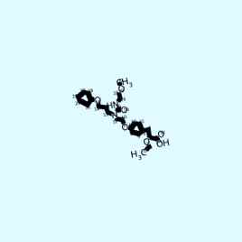 CCOC(Cc1ccc(OCCN(CCCOc2ccccc2)C(=O)NCCOC)cc1)C(=O)O